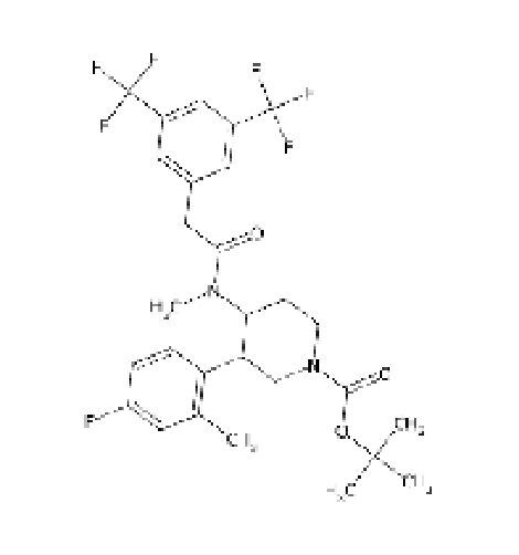 Cc1cc(F)ccc1C1CN(C(=O)OC(C)(C)C)CCC1N(C)C(=O)Cc1cc(C(F)(F)F)cc(C(F)(F)F)c1